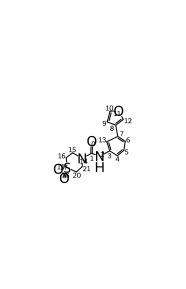 O=C(Nc1cccc(-c2ccoc2)c1)N1CCS(=O)(=O)CC1